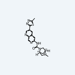 Cc1nnc(-c2cnc3cnc(NC(=O)N4C[C@H]5C[C@@H]4CN5C)cc3c2)s1